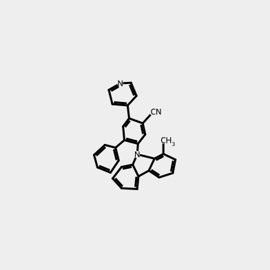 Cc1cccc2c3ccccc3n(-c3cc(C#N)c(-c4ccncc4)cc3-c3ccccc3)c12